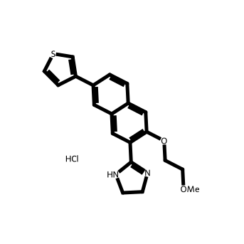 COCCOc1cc2ccc(-c3ccsc3)cc2cc1C1=NCCN1.Cl